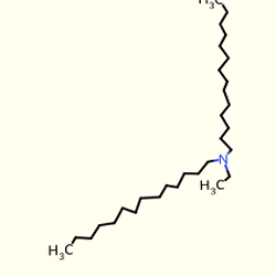 CCCCCCCCCCCCCCN(CC)CCCCCCCCCCCCCC